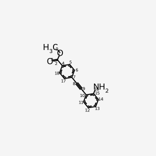 COC(=O)c1ccc(C#Cc2ccccc2N)cc1